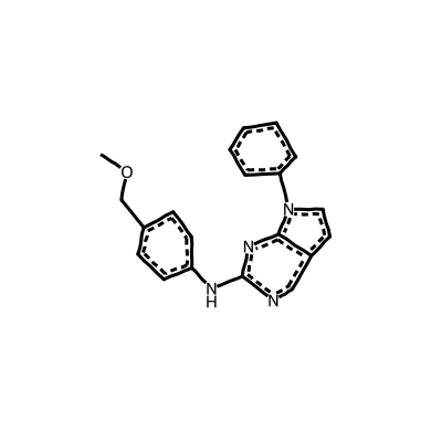 COCc1ccc(Nc2ncc3ccn(-c4ccccc4)c3n2)cc1